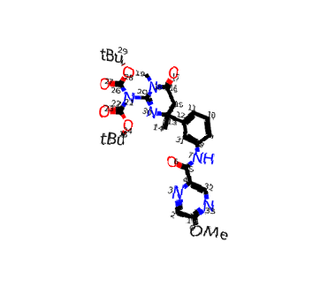 COc1cnc(C(=O)Nc2cccc(C3(C)CC(=O)N(C)C(N(C(=O)OC(C)(C)C)C(=O)OC(C)(C)C)=N3)c2)cn1